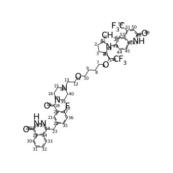 C[C@H]1CC[C@H](C(OCCCCOCCN2CCN(C(=O)c3cc(Cc4n[nH]c(=O)c5ccccc45)ccc3F)CC2)C(F)(F)F)N1c1ccc2[nH]c(=O)cc(C(F)(F)F)c2c1